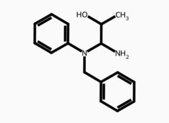 CC(O)C(N)N(Cc1ccccc1)c1ccccc1